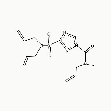 C=CCN(C)C(=O)n1cnc(S(=O)(=O)N(CC=C)CC=C)n1